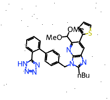 CCCCc1nc2cc(-c3cccs3)c(C(OC)OC)nc2n1Cc1ccc(-c2ccccc2-c2nnn[nH]2)cc1